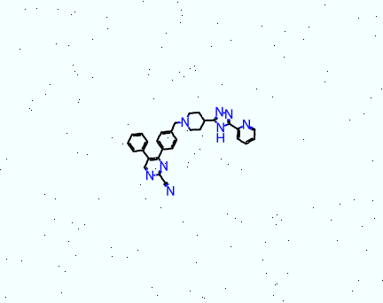 N#Cc1ncc(-c2ccccc2)c(-c2ccc(CN3CCC(c4nnc(-c5ccccn5)[nH]4)CC3)cc2)n1